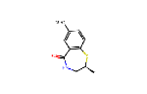 COc1ccc2c(c1)C(=O)NC[C@H](C)S2